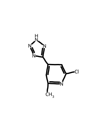 Cc1cc(-c2nn[nH]n2)cc(Cl)n1